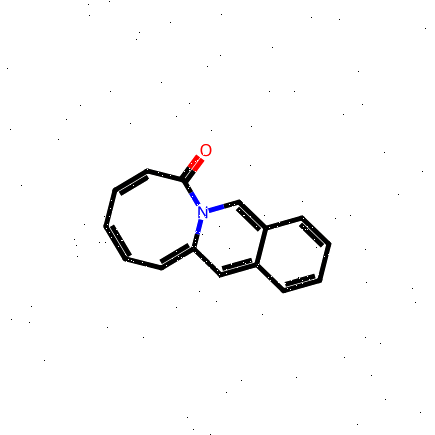 O=C1\C=C/C=C\C=C2\C=c3ccccc3=CN12